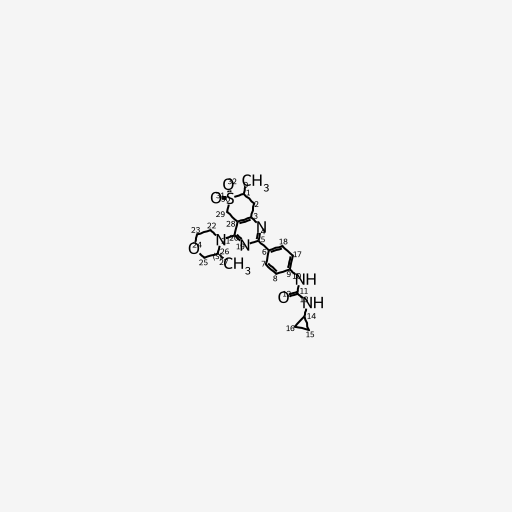 CC1Cc2nc(-c3ccc(NC(=O)NC4CC4)cc3)nc(N3CCOC[C@@H]3C)c2CS1(=O)=O